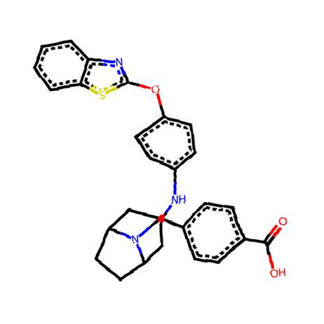 O=C(O)c1ccc(CN2C3CCC2CC(Nc2ccc(Oc4nc5ccccc5s4)cc2)C3)cc1